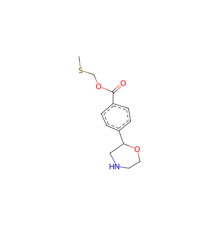 CSCOC(=O)c1ccc(C2CNCCO2)cc1